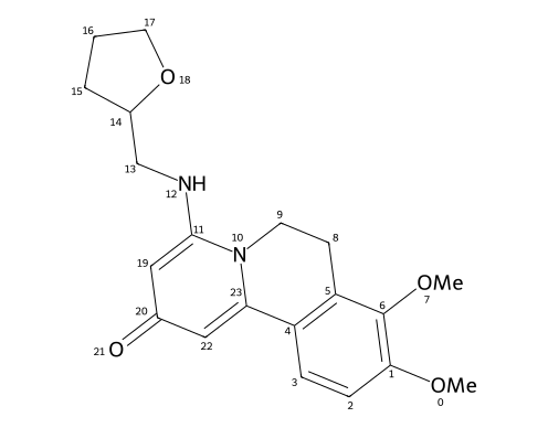 COc1ccc2c(c1OC)CCn1c(NCC3CCCO3)cc(=O)cc1-2